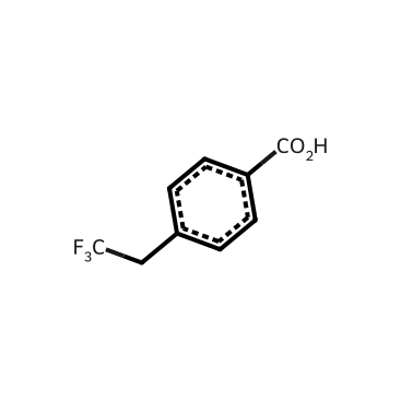 O=C(O)c1ccc(CC(F)(F)F)cc1